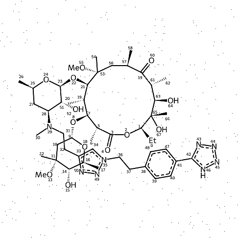 CC[C@H]1OC(=O)[C@H](C)[C@@H](O[C@H]2C[C@@](C)(OC)[C@@H](O)[C@H](C)O2)[C@H](C)[C@@H](O[C@@H]2O[C@H](C)C[C@H](N(C)CCc3cn(CCc4ccc(-c5nnn[nH]5)cc4)nn3)[C@H]2O)[C@](C)(OC)C[C@@H](C)C(=O)[C@H](C)[C@@H](O)[C@]1(C)O